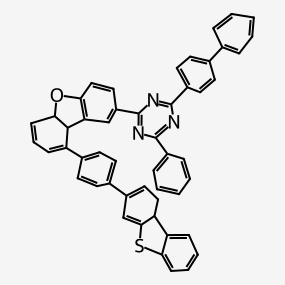 C1=CC2Oc3ccc(-c4nc(-c5ccccc5)nc(-c5ccc(-c6ccccc6)cc5)n4)cc3C2C(c2ccc(C3=CCC4C(=C3)Sc3ccccc34)cc2)=C1